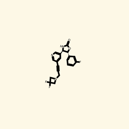 O=C1N[C@H](c2cncc(C#CCN3CC(F)(F)C3)c2)[C@@H](c2cccc(F)c2)O1